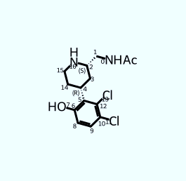 CC(=O)NC[C@@H]1C[C@H](c2c(O)ccc(Cl)c2Cl)CCN1